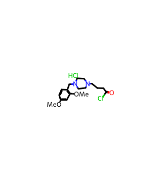 COc1ccc(CN2CCN(CCCC(=O)Cl)CC2)c(OC)c1.Cl